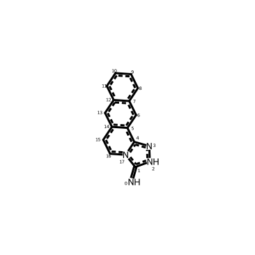 N=c1[nH]nc2c3cc4ccccc4cc3ccn12